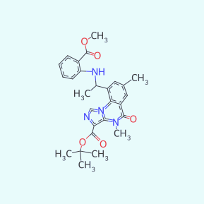 COC(=O)c1ccccc1NC(C)c1cc(C)cc2c(=O)n(C)c3c(C(=O)OC(C)(C)C)ncn3c12